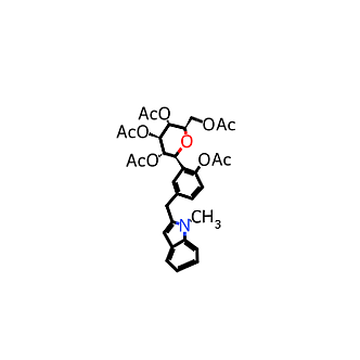 CC(=O)OC[C@H]1O[C@@H](c2cc(Cc3cc4ccccc4n3C)ccc2OC(C)=O)[C@H](OC(C)=O)[C@@H](OC(C)=O)[C@@H]1OC(C)=O